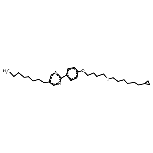 CCCCCCCCc1cnc(-c2ccc(OCCCCOCCCCCCC3CC3)cc2)nc1